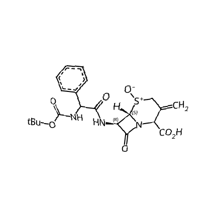 C=C1C[S+]([O-])[C@H]2[C@H](NC(=O)C(NC(=O)OC(C)(C)C)c3ccccc3)C(=O)N2C1C(=O)O